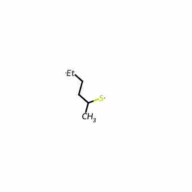 C[CH]CCC(C)[S]